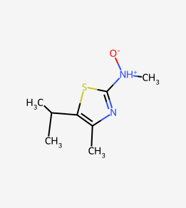 Cc1nc([NH+](C)[O-])sc1C(C)C